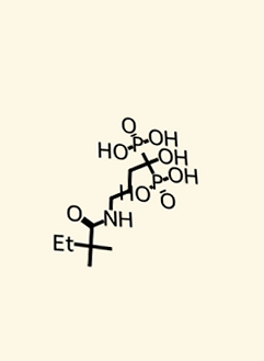 CCC(C)(C)C(=O)NCCCC(O)(P(=O)(O)O)P(=O)(O)O